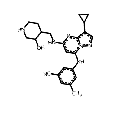 Cc1cc(C#N)cc(Nc2cc(NCC3CCNCC3O)nc3c(C4CC4)cnn23)c1